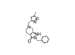 Cc1cc(CN2CCc3c([nH]n(Cc4ccccc4)c3=O)C2)no1